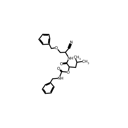 CC(C)CC(OC(=O)NCc1ccccc1)C(=O)NC(C#N)COCc1ccccc1